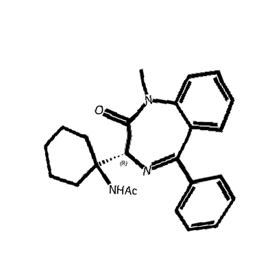 CC(=O)NC1([C@H]2N=C(c3ccccc3)c3ccccc3N(C)C2=O)CCCCC1